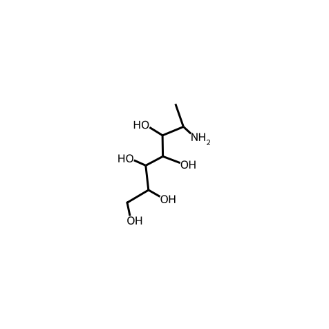 CC(N)C(O)C(O)C(O)C(O)CO